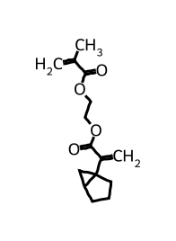 C=C(C)C(=O)OCCOC(=O)C(=C)C12CCCC1C2